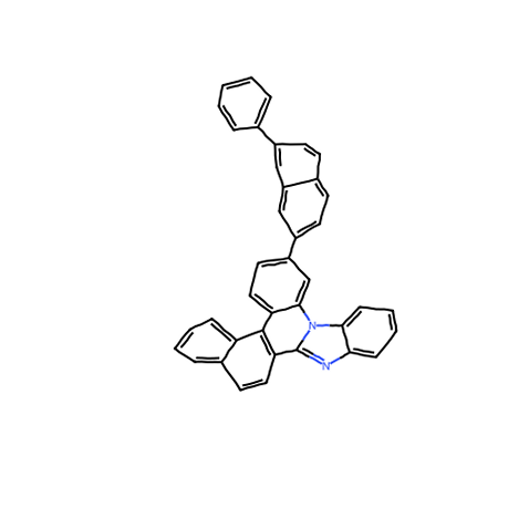 c1ccc(-c2ccc3ccc(-c4ccc5c6c7ccccc7ccc6c6nc7ccccc7n6c5c4)cc3c2)cc1